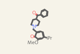 COc1cc(C(C)C)ccc(CN2CCC(C(=O)c3ccccc3)CC2)c1=O